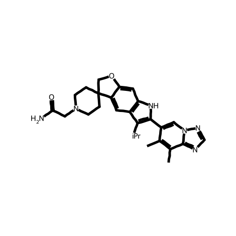 Cc1c(-c2[nH]c3cc4c(cc3c2C(C)C)C2(CCN(CC(N)=O)CC2)CO4)cn2ncnc2c1C